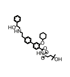 CC(C)(O)CCS(=O)(=O)NC(=O)c1ccc(-c2ccc(CCNC[C@@H](O)c3ccccc3)cc2)cc1OC1CCCCC1